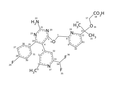 Cc1cc(-c2c(OCc3cccc(C(C)(C)OCC(=O)O)n3)nc(N)nc2-c2ccc(F)cc2)cc(C(F)F)n1